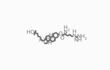 C[C@H](CCCC(C)(C)O)[C@H]1CC[C@H]2[C@@H]3CC=C4C[C@@H](OC(=O)[C@@H](N)CCCNC(=N)N)CC[C@]4(C)[C@H]3CC[C@]12C